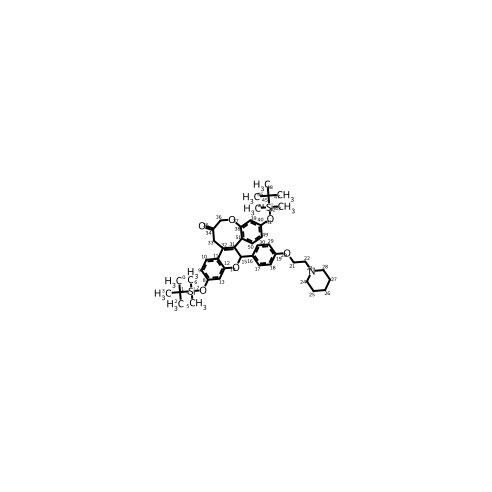 CC(C)(C)[Si](C)(C)Oc1ccc2c(c1)OC(c1ccc(OCCN3CCCCC3)cc1)C1=C2CC(=O)COc2cc(O[Si](C)(C)C(C)(C)C)ccc21